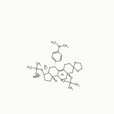 CN(C)c1ccc([C@H]2C[C@@]3(C)[C@@H](CC[C@@]3(C#N)O[Si](C)(C)C)[C@@H]3CC[C@@]4(O[Si](C)(C)C)CC5(CCC4=C32)OCCO5)cc1